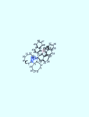 C1CCCCC([NH+]2CCCCCCCN2)CCC1.CCCC[B-](c1cccc2ccccc12)(c1cccc2ccccc12)c1cccc2ccccc12